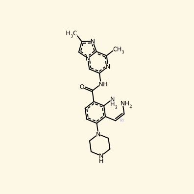 Cc1cn2cc(NC(=O)c3ccc(N4CCNCC4)c(/C=C\N)c3N)nc(C)c2n1